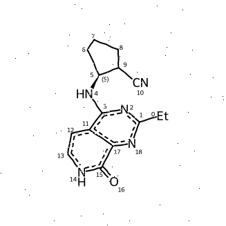 CCc1nc(N[C@H]2CCCC2C#N)c2cc[nH]c(=O)c2n1